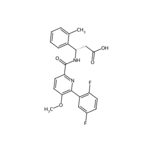 COc1ccc(C(=O)N[C@@H](CC(=O)O)c2ccccc2C)nc1-c1cc(F)ccc1F